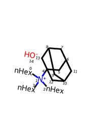 CCCCCC[N+](CCCCCC)(CCCCCC)C12CC3CC(CC(C3)C1)C2.[OH-]